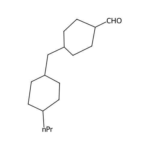 CCCC1CCC(CC2CCC(C=O)CC2)CC1